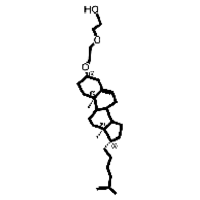 CC(C)CCCC[C@H]1CCC2C3CC=C4C[C@@H](OCCOCCO)CC[C@]4(C)C3CC[C@@]21C